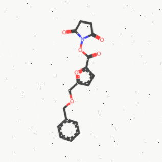 O=C(ON1C(=O)CCC1=O)c1ccc(COCc2ccccc2)o1